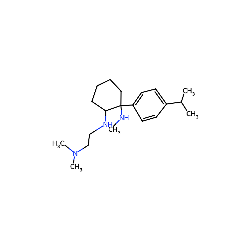 CNC1(c2ccc(C(C)C)cc2)CCCCC1NCCN(C)C